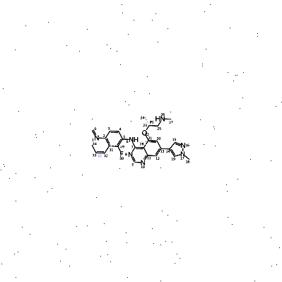 C=Nc1ccc(Nc2ncnc3cc(-c4cnn(C)c4)cc(O[C@H](C)CNC)c23)c(F)c1/C=C\C